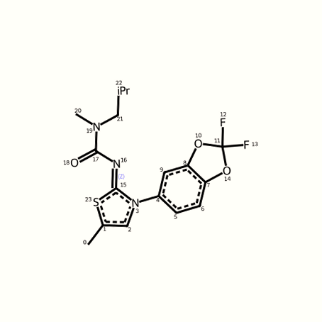 Cc1cn(-c2ccc3c(c2)OC(F)(F)O3)/c(=N/C(=O)N(C)CC(C)C)s1